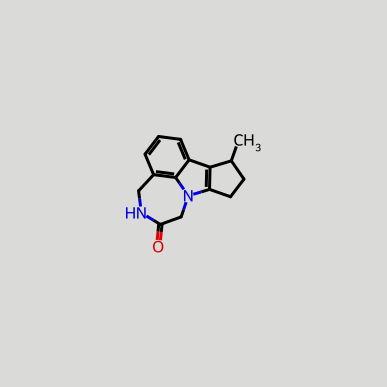 CC1CCc2c1c1cccc3c1n2CC(=O)NC3